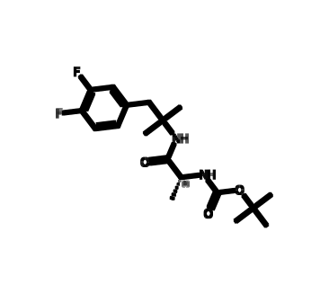 C[C@@H](NC(=O)OC(C)(C)C)C(=O)NC(C)(C)Cc1ccc(F)c(F)c1